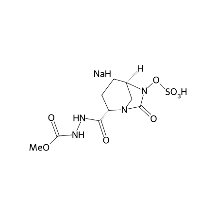 COC(=O)NNC(=O)[C@@H]1CC[C@@H]2CN1C(=O)N2OS(=O)(=O)O.[NaH]